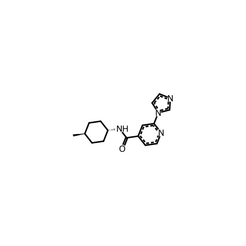 C[C@H]1CC[C@H](NC(=O)c2ccnc(-n3ccnc3)c2)CC1